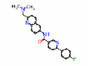 CN(C)Cc1ccc2cc(NC(=O)c3ccc(-c4ccc(F)cc4)nc3)ccc2n1